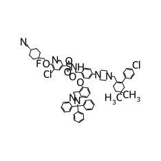 CC1(C)CCC(CN2CCN(c3ccc(C(=O)NS(=O)(=O)c4cnc(OC[C@]5(F)CC[C@H](C#N)CC5)c(Cl)c4)c(Oc4cccc5c4cnn5C(c4ccccc4)(c4ccccc4)c4ccccc4)c3)CC2)=C(c2ccc(Cl)cc2)C1